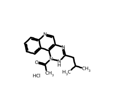 CC(=O)N1NC(CC(C)C)=Nc2cnc3ccccc3c21.Cl